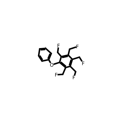 FCc1c(CF)c(CF)c(Oc2c[c]ccc2)c(CF)c1CF